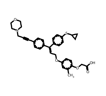 Cc1cc(OCC=C(c2ccc(C#CCN3CCOCC3)cc2)c2ccc(SC3CC3)cc2)ccc1OCC(=O)O